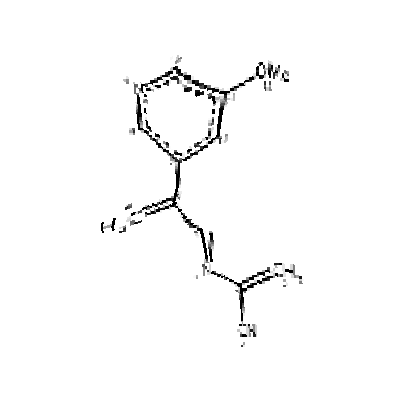 C=C(C#N)/N=C/C(=C)c1cncc(OC)c1